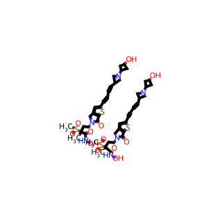 CC(CCN1Cc2cc(C#CC#CC3CN(C4CC(O)C4)C3)sc2C1=O)(C(=O)NO)S(C)(=O)=O.C[C@@](CCN1Cc2cc(C#CC#CC3CN(C4CC(O)C4)C3)sc2C1=O)(C(=O)NO)S(C)(=O)=O